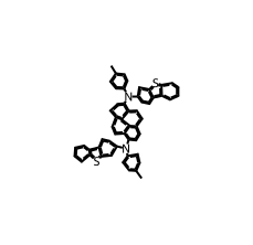 Cc1ccc(N(c2ccc3c(c2)sc2ccccc23)c2ccc3ccc4c(N(c5ccc(C)cc5)c5ccc6c(c5)sc5ccccc56)ccc5ccc2c3c54)cc1